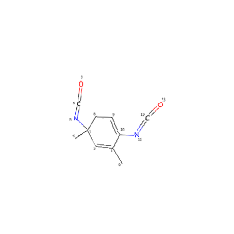 CC1=CC(C)(N=C=O)CC=C1N=C=O